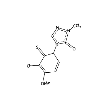 COC1=C(Cl)C(=S)C(n2cnn(C(Cl)(Cl)Cl)c2=O)C=C1